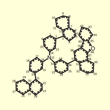 c1cc(-c2cccc3ccccc23)cc(N(c2cccc(-c3cccc4ccccc34)c2)c2cccc(-c3cc4c5ccccc5oc4c4ccccc34)c2)c1